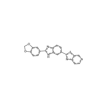 c1cc2nc(-c3ccc4nc(-c5ccc6c(c5)OCO6)[nH]c4c3)sc2cn1